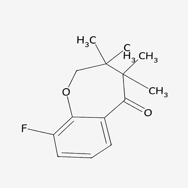 CC1(C)COc2c(F)cccc2C(=O)C1(C)C